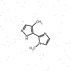 Cc1cn[nH]c1-c1nccn1C